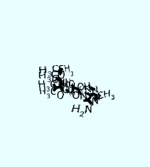 CC(C)C(NC(=O)OC(C)(C)C)C(=O)OC[C@H]1O[C@@H](n2cc3c4c(ncnc42)N(C)N=C3N)[C@@H](O)C1O